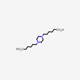 O=C(O)CCCCCN1CCN(CCCCCC(=O)O)CC1